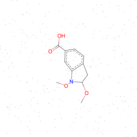 COC1Cc2ccc(C(=O)O)cc2N1OC